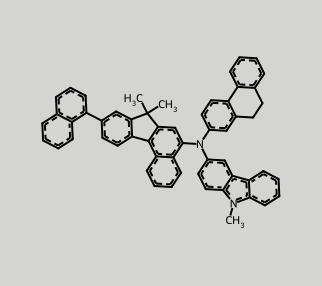 Cn1c2ccccc2c2cc(N(c3ccc4c(c3)CCc3ccccc3-4)c3cc4c(c5ccccc35)-c3ccc(-c5cccc6ccccc56)cc3C4(C)C)ccc21